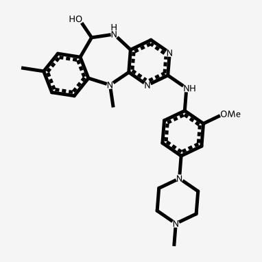 COc1cc(N2CCN(C)CC2)ccc1Nc1ncc2c(n1)N(C)c1ccc(C)cc1C(O)N2